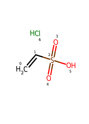 C=CS(=O)(=O)O.Cl